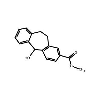 COC(=O)c1ccc2c(c1)CCc1ccccc1C2O